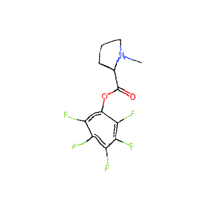 CN1CCCC1C(=O)Oc1c(F)c(F)c(F)c(F)c1F